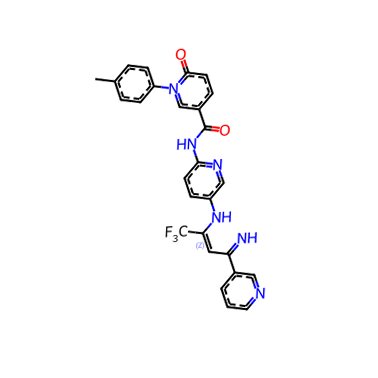 Cc1ccc(-n2cc(C(=O)Nc3ccc(N/C(=C\C(=N)c4cccnc4)C(F)(F)F)cn3)ccc2=O)cc1